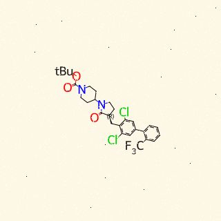 CC(C)(C)OC(=O)N1CCC(N2CC[C@@H](Cc3c(Cl)cc(-c4ccccc4C(F)(F)F)cc3Cl)C2=O)CC1